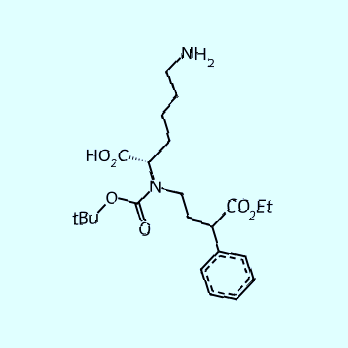 CCOC(=O)C(CCN(C(=O)OC(C)(C)C)[C@@H](CCCCN)C(=O)O)c1ccccc1